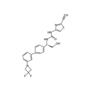 C#Cc1nc(NC(=O)N[C@@H](CO)c2ccc(-c3cccc(N4CC(F)(F)C4)c3)cc2)cs1